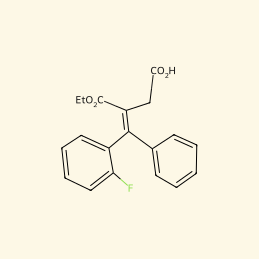 CCOC(=O)/C(CC(=O)O)=C(/c1ccccc1)c1ccccc1F